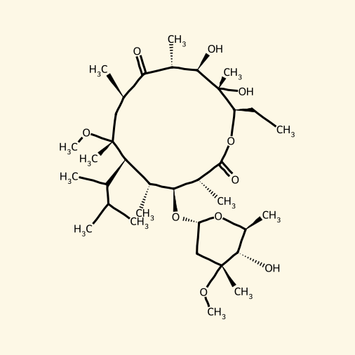 CC[C@H]1OC(=O)[C@H](C)[C@@H](O[C@H]2C[C@@](C)(OC)[C@@H](O)[C@H](C)O2)[C@H](C)[C@@H](C(C)C(C)C)[C@](C)(OC)C[C@@H](C)C(=O)[C@H](C)[C@@H](O)[C@]1(C)O